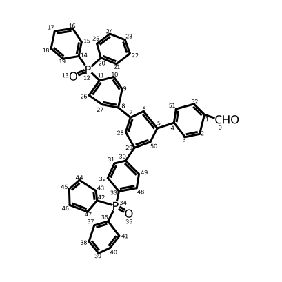 O=Cc1ccc(-c2cc(-c3ccc(P(=O)(c4ccccc4)c4ccccc4)cc3)cc(-c3ccc(P(=O)(c4ccccc4)c4ccccc4)cc3)c2)cc1